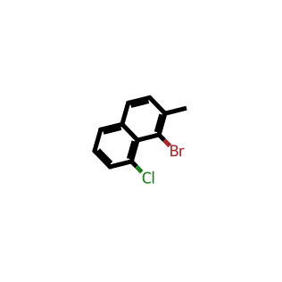 Cc1ccc2cccc(Cl)c2c1Br